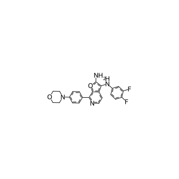 Nc1oc2c(-c3ccc(N4CCOCC4)cc3)nccc2c1Nc1ccc(F)c(F)c1